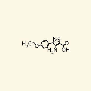 CCOc1ccc(-c2nsc(C(=O)O)c2N)cc1